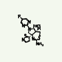 Cl.NC1=N[C@@]2(c3ccns3)CN(c3ncc(F)cn3)C[C@H]2CS1